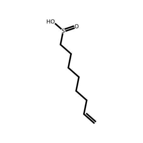 C=CCCCCCCS(=O)O